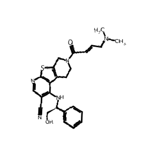 CN(C)C/C=C/C(=O)N1CCc2c(sc3ncc(C#N)c(N[C@H](CO)c4ccccc4)c23)C1